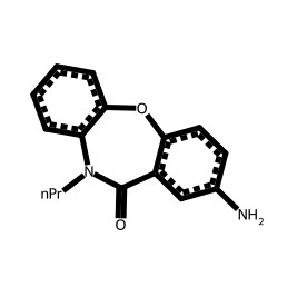 CCCN1C(=O)c2cc(N)ccc2Oc2ccccc21